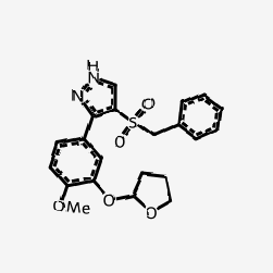 COc1ccc(-c2n[nH]cc2S(=O)(=O)Cc2ccccc2)cc1OC1CCCO1